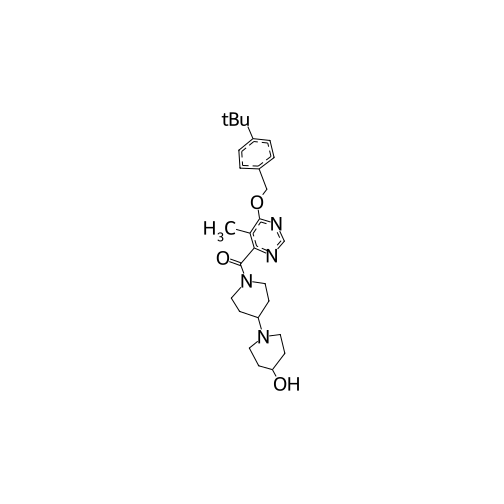 Cc1c(OCc2ccc(C(C)(C)C)cc2)ncnc1C(=O)N1CCC(N2CCC(O)CC2)CC1